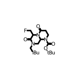 CCC(C)CN1CC2N(C(=O)OC(C)(C)C)CCC(=O)N2C(CF)C1=O